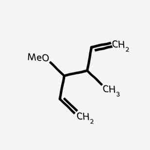 C=CC(C)C(C=C)OC